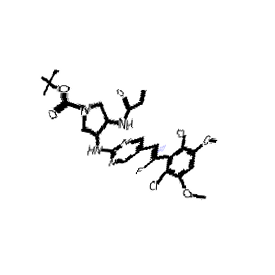 C=CC(=O)NC1CN(C(=O)OC(C)(C)C)CC1Nc1ncc(/C=C(\F)c2c(Cl)c(OC)cc(OC)c2Cl)cn1